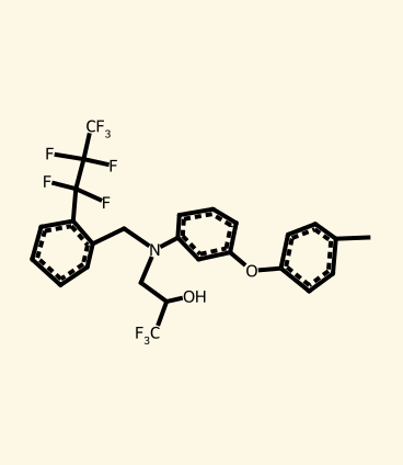 Cc1ccc(Oc2cccc(N(Cc3ccccc3C(F)(F)C(F)(F)C(F)(F)F)CC(O)C(F)(F)F)c2)cc1